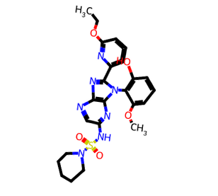 CCOC1=NC(c2nc3ncc(NS(=O)(=O)N4CCCCC4)nc3n2-c2c(O)cccc2OC)=C=C=C1